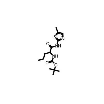 CCCC(NC(=O)OC(C)(C)C)C(=O)Nc1ncc(C)s1